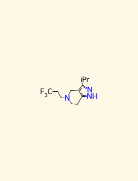 CC(C)c1n[nH]c2c1CN(CCC(F)(F)F)CC2